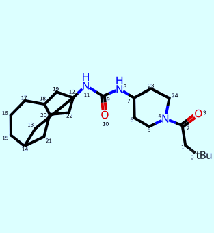 CC(C)(C)CC(=O)N1CCC(NC(=O)NC23CC4CCCC(C2)C(C4)C3)CC1